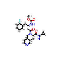 CC(C)(C)OC(=O)NC(CC(=O)N1Cc2ccncc2CC1C(=O)NC1CC1)Cc1ccccc1F